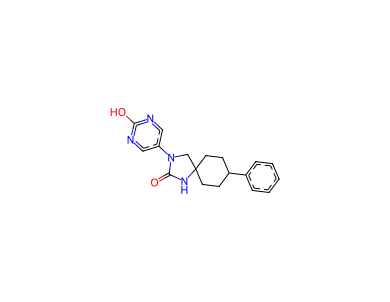 O=C1NC2(CCC(c3ccccc3)CC2)CN1c1cnc(O)nc1